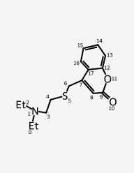 CCN(CC)CCSCc1cc(=O)oc2ccccc12